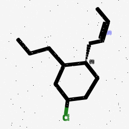 C/C=C\C[C@@H]1CCC(Cl)CC1CCC